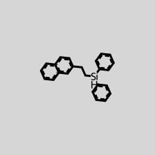 c1ccc([SiH](CCc2ccc3ccccc3c2)c2ccccc2)cc1